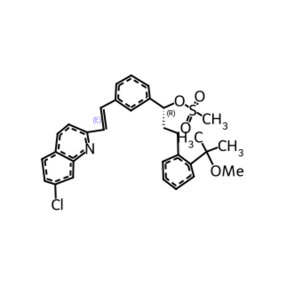 COC(C)(C)c1ccccc1CC[C@@H](OS(C)(=O)=O)c1cccc(/C=C/c2ccc3ccc(Cl)cc3n2)c1